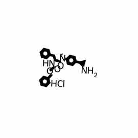 CN(C(=O)C(Cc1ccccc1)NC(=O)OCc1ccccc1)c1ccc(C2CC2N)cc1.Cl